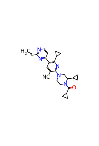 C=Cc1nccc(-c2cc(C#N)c(N3CCN(C(=O)C4CC4)C(C4CC4)C3)nc2C2CC2)n1